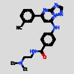 CCN(CC)CCNC(=O)c1ccc(Nc2cc(-c3cccc(C#N)c3)nc3ncnn23)cc1